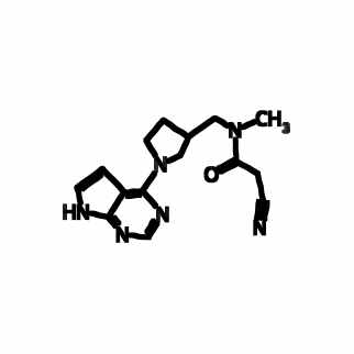 CN(CC1CCN(c2ncnc3[nH]ccc23)C1)C(=O)CC#N